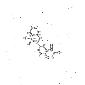 O=C1COc2ccc(C=Cc3ccccc3C(F)(F)F)cc2N1